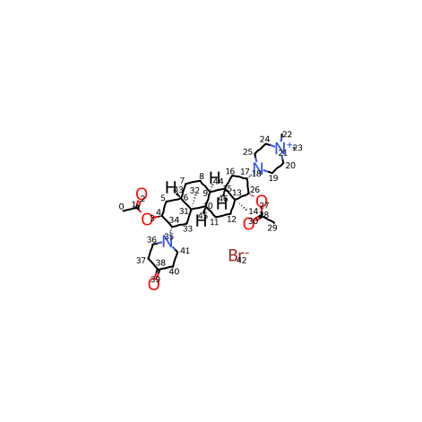 CC(=O)O[C@H]1C[C@@H]2CC[C@@H]3[C@H](CC[C@@]4(C)[C@H]3C[C@H](N3CC[N+](C)(C)CC3)[C@@H]4OC(C)=O)[C@@]2(C)C[C@@H]1N1CCC(=O)CC1.[Br-]